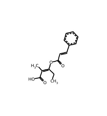 CC/C(OC(=O)/C=C/c1ccccc1)=C(/C)C(=O)O